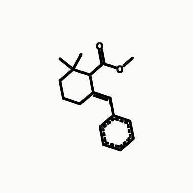 COC(=O)C1C(=Cc2ccccc2)CCCC1(C)C